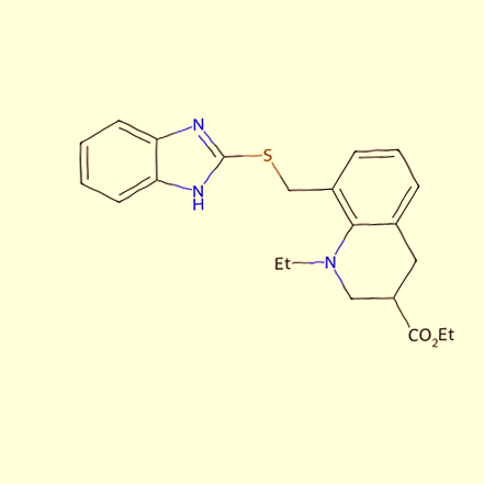 CCOC(=O)C1Cc2cccc(CSc3nc4ccccc4[nH]3)c2N(CC)C1